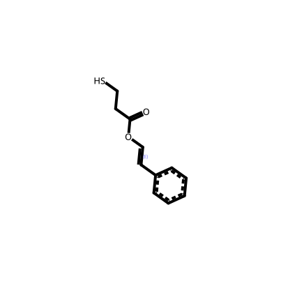 O=C(CCS)O/C=C/c1ccccc1